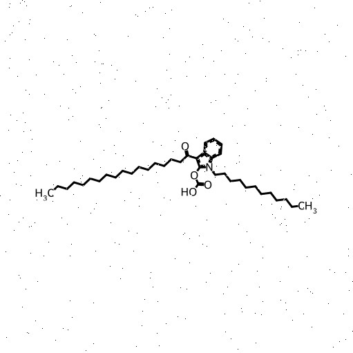 CCCCCCCCCCCCCCCCCC(=O)c1c(OC(=O)O)n(CCCCCCCCCCCC)c2ccccc12